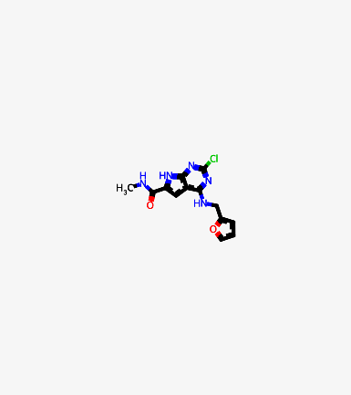 CNC(=O)c1cc2c(NCc3ccco3)nc(Cl)nc2[nH]1